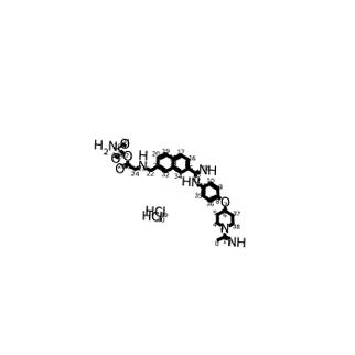 CC(=N)N1CCC(Oc2ccc(NC(=N)c3ccc4ccc(CNCC(=O)OS(N)(=O)=O)cc4c3)cc2)CC1.Cl.Cl